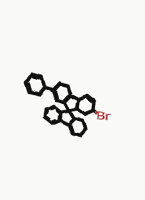 BrC1C=CC2C3=C(C=C(C4C=CC=CC4)CC3)C3(c4ccccc4C4=CCCCC43)C2C1